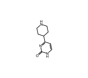 O=c1nc(C2CCNCC2)cc[nH]1